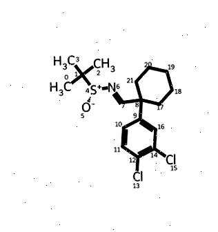 CC(C)(C)[S@@+]([O-])/N=C/C1(c2ccc(Cl)c(Cl)c2)CCCCC1